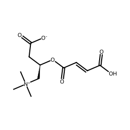 C[N+](C)(C)C[C@@H](CC(=O)[O-])OC(=O)/C=C/C(=O)O